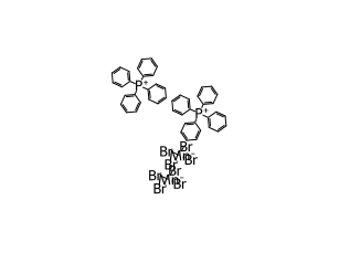 [Br][Mn-]([Br])([Br])[Br].[Br][Mn-]([Br])([Br])[Br].c1ccc([P+](c2ccccc2)(c2ccccc2)c2ccccc2)cc1.c1ccc([P+](c2ccccc2)(c2ccccc2)c2ccccc2)cc1